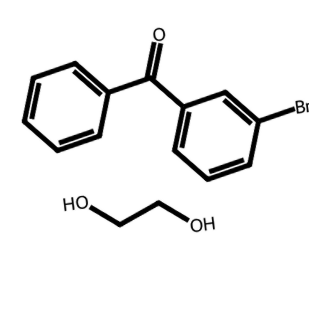 O=C(c1ccccc1)c1cccc(Br)c1.OCCO